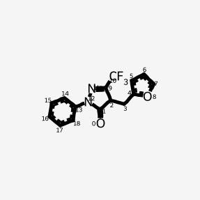 O=C1C(Cc2ccco2)C(C(F)(F)F)=NN1c1ccccc1